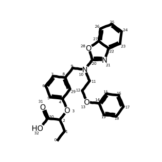 CCC(Oc1cccc(CN(CCOc2ccccc2)c2nc3ccccc3o2)c1)C(=O)O